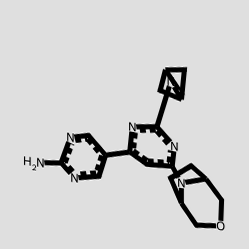 Nc1ncc(-c2cc(N3C4CCC3COC4)nc(N3CC4CC3C4)n2)cn1